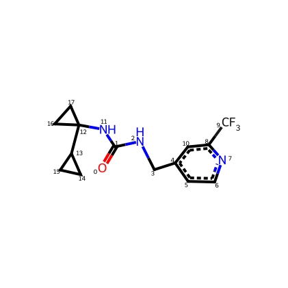 O=C(NCc1ccnc(C(F)(F)F)c1)NC1(C2CC2)CC1